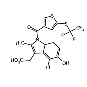 CC1=C(CC(=O)O)C2=C(Cl)C(O)=CCC2N1C(=O)c1csc(SC(F)(F)C(F)(F)F)c1